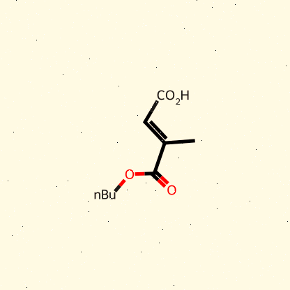 CCCCOC(=O)C(C)=CC(=O)O